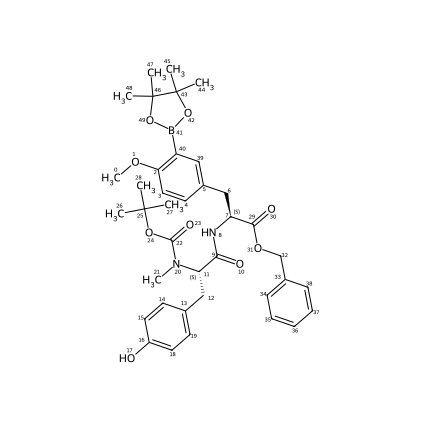 COc1ccc(C[C@H](NC(=O)[C@H](Cc2ccc(O)cc2)N(C)C(=O)OC(C)(C)C)C(=O)OCc2ccccc2)cc1B1OC(C)(C)C(C)(C)O1